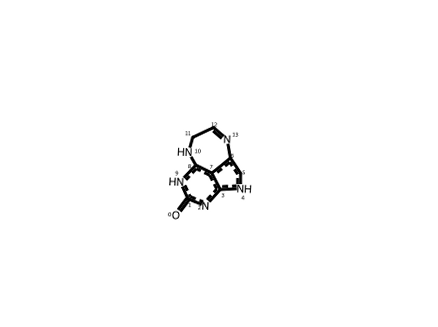 O=c1nc2[nH]cc3c2c([nH]1)NCC=N3